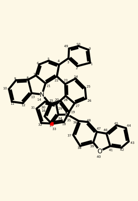 c1ccc(-c2ccc3c4ccccc4n(-c4ccccc4)c3c2-c2cccc3c2c2ccccc2n3-c2ccc3oc4ccccc4c3c2)cc1